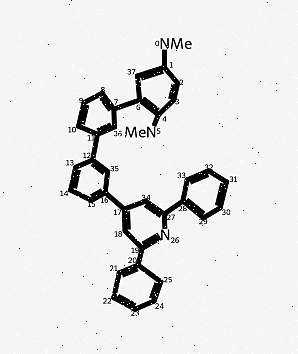 CNc1ccc(NC)c(-c2cccc(-c3cccc(-c4cc(-c5ccccc5)nc(-c5ccccc5)c4)c3)c2)c1